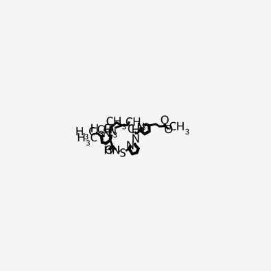 COC(=O)CCc1ccc(C2CC(C)C3CN(c4nc(C(C)(C)C)ccc4C(=O)NSc4cccc(n4)N2)C(C)(C)C3)nc1